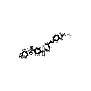 Nc1nc2ccc(C=Cc3cnc(Nc4ccc(S(=O)(=O)NC5CCNCC5)cc4)nc3)cc2s1